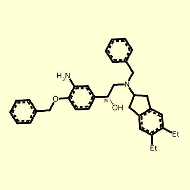 CCc1cc2c(cc1CC)CC(N(Cc1ccccc1)C[C@H](O)c1ccc(OCc3ccccc3)c(N)c1)C2